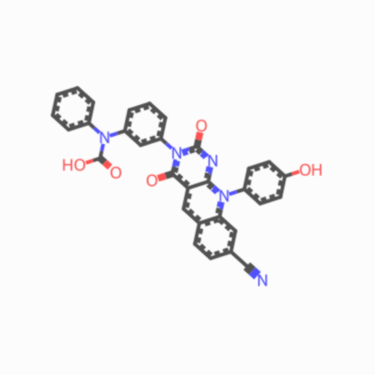 N#Cc1ccc2cc3c(=O)n(-c4cccc(N(C(=O)O)c5ccccc5)c4)c(=O)nc-3n(-c3ccc(O)cc3)c2c1